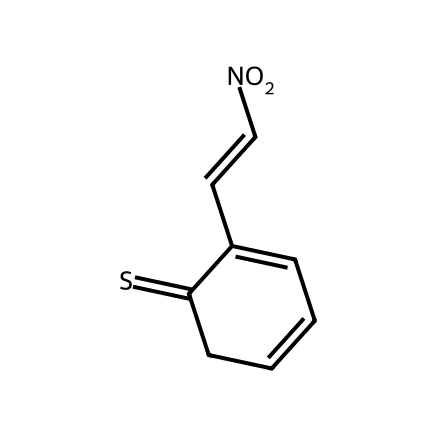 O=[N+]([O-])C=CC1=CC=CCC1=S